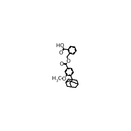 COc1cc(C(=O)OCc2ccccc2C(=O)O)ccc1C12CC3CC(CC(C3)C1)C2